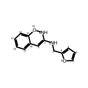 C1=C(NCc2ccco2)NOc2ccccc21